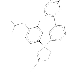 Cc1cc([C@@]2(c3cccc(-c4cncc(Cl)n4)c3)COC(N)=N2)ccc1OC(F)F